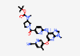 Cc1cc(C#N)ncc1Oc1cc(Nc2ccc(C(=O)N3CCC(N(C)C(=O)OC(C)(C)C)C3)cn2)c2ncn(C)c2n1